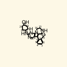 Cc1ccccc1-c1c2c(n3c1C(=O)NCC3)NC(N[C@H]1CC[C@H](O)CC1)N=C2